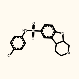 O=S(=O)(Nc1ccc(Cl)cc1)c1ccc2c(c1)C1CCNCC1O2